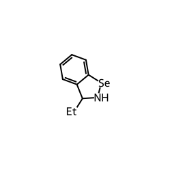 CCC1N[Se]c2ccccc21